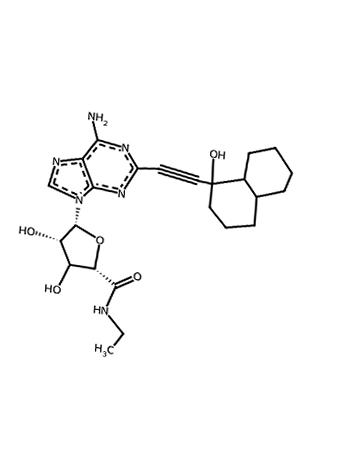 CCNC(=O)[C@H]1O[C@@H](n2cnc3c(N)nc(C#CC4(O)CCCC5CCCCC54)nc32)[C@@H](O)C1O